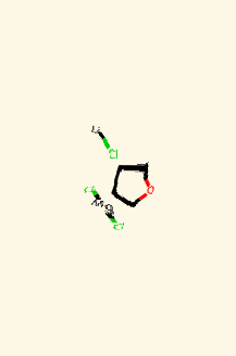 C1CCOC1.[Cl][Mg][Cl].[Li][Cl]